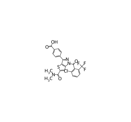 CN(C)C(=O)c1cc2c(s1)c(-c1ccc(C(=O)O)cc1)nn2C(=O)c1c(Cl)cccc1C(F)(F)F